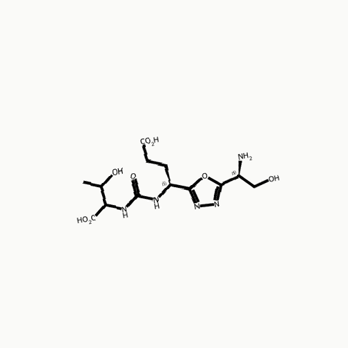 CC(O)C(NC(=O)N[C@@H](CCC(=O)O)c1nnc([C@@H](N)CO)o1)C(=O)O